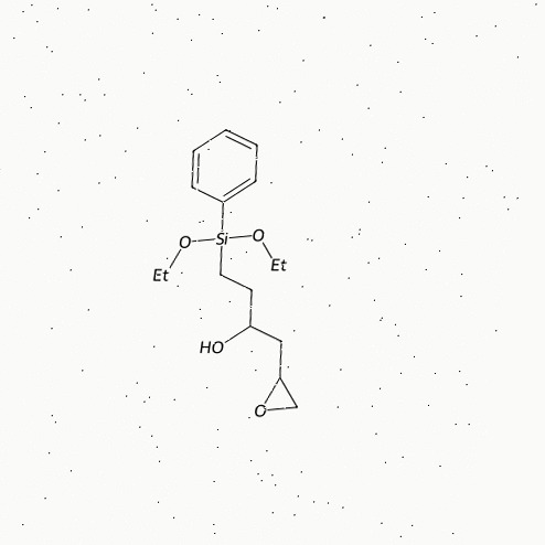 CCO[Si](CCC(O)CC1CO1)(OCC)c1ccccc1